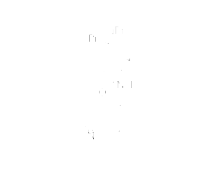 CC(C)C1(C(C)C)CCC(NC(=O)Cc2ccncc2)CC1